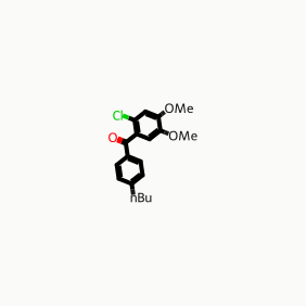 CCCCc1ccc(C(=O)c2cc(OC)c(OC)cc2Cl)cc1